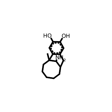 CC12CCCCCC(Cc3cc(O)c(O)cc31)C2N